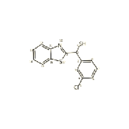 SC(c1[c]c(Cl)ccc1)c1nc2ccccc2s1